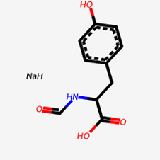 O=CNC(Cc1ccc(O)cc1)C(=O)O.[NaH]